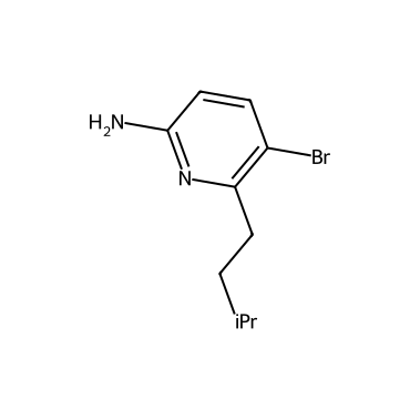 CC(C)CCc1nc(N)ccc1Br